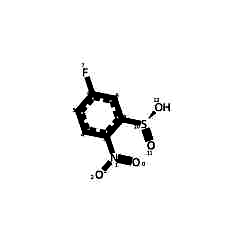 O=[N+]([O-])c1ccc(F)cc1[S@@](=O)O